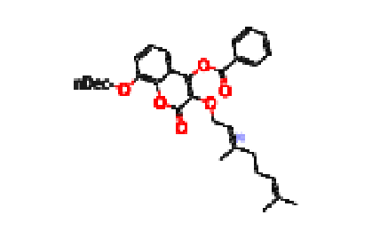 CCCCCCCCCCOc1cccc2c(OC(=O)c3ccccc3)c(OC/C=C(\C)CCC=C(C)C)c(=O)oc12